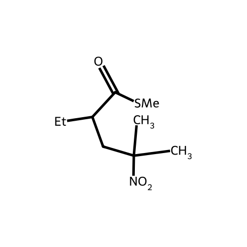 CCC(CC(C)(C)[N+](=O)[O-])C(=O)SC